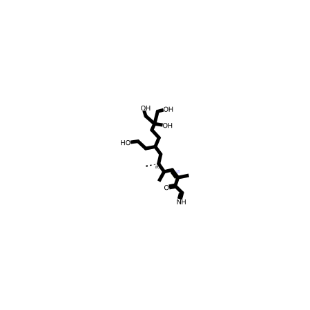 C/C(=C/C(C)[C@H](C)CC(CCO)CCC(O)(CO)CO)C(=O)C=N